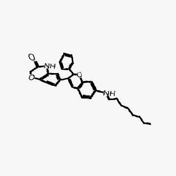 CCCCCCCCNc1ccc2c(c1)OC(c1ccccc1)C(c1ccc3c(c1)NC(=O)CO3)=C2